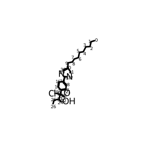 CCCCCCCCCCc1cnc(-c2ccc(C(Cl)(C(=O)O)C(C)CC)cc2)nc1